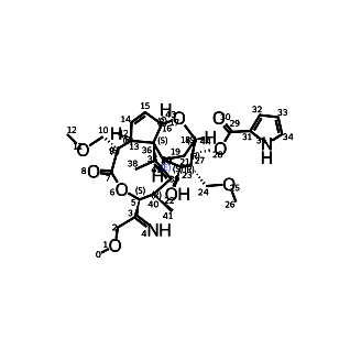 COCC(=N)[C@H]1OC(=O)[C@H](COC)[C@H]2C=C[C@H]3O[C@H]4C[C@@H]([C@H](O)[C@@H](COC)[C@H]4OC(=O)c4ccc[nH]4)[C@]23/C(C)=C/[C@H]1C